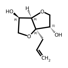 C=CC[C@]12OC[C@@H](O)[C@H]1OC[C@@H]2O